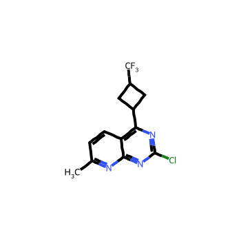 Cc1ccc2c(C3CC(C(F)(F)F)C3)nc(Cl)nc2n1